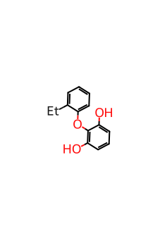 CCc1ccccc1Oc1c(O)cccc1O